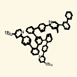 Cc1cc(-c2ccc(-c3ccccc3-c3cc(-c4ccccc4-c4ccc(-c5cc(C(C)(C)C)ccn5)cc4)cc(-c4ccccc4-c4ccc(-c5cc(C(C)(C)C)ccn5)cc4)c3)cc2)ncc1-c1cccc(-c2ccccc2)c1